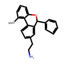 COc1cccc2c1-c1ccc(CCN)cc1C(c1ccccc1)O2